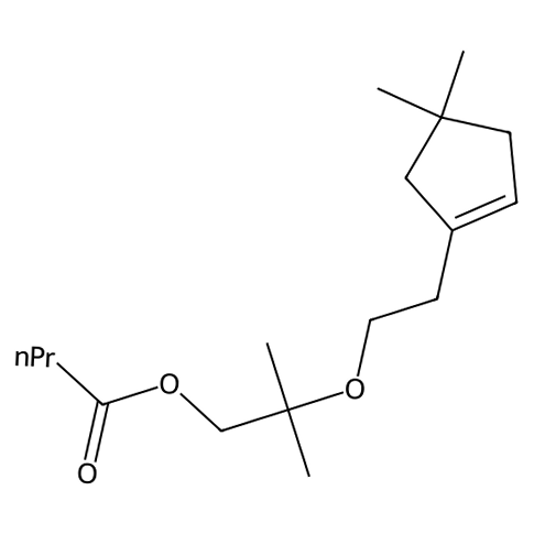 CCCC(=O)OCC(C)(C)OCCC1=CCC(C)(C)C1